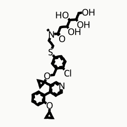 CN(CCSc1ccc(Cl)c(COC2(c3cnccc3-c3ccccc3OC3CC3)CC2)c1)C(=O)CC(O)C(O)C(O)CO